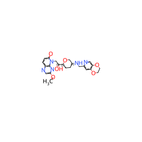 COc1cnc2ccc(=O)n(C[C@H](O)[C@@H]3CC[C@@H](NCc4cc5c(cn4)OCCO5)CO3)c2n1